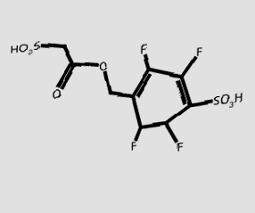 O=C(CS(=O)(=O)O)OCC1=C(F)C(F)=C(S(=O)(=O)O)C(F)C1F